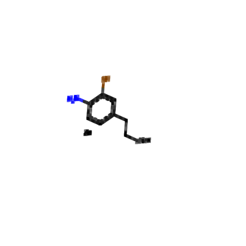 CCCCCCCCc1ccc(N)c(S)c1.[Zn]